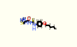 CCCCCOc1ccc(NC(=S)NC(=O)c2csnn2)cc1